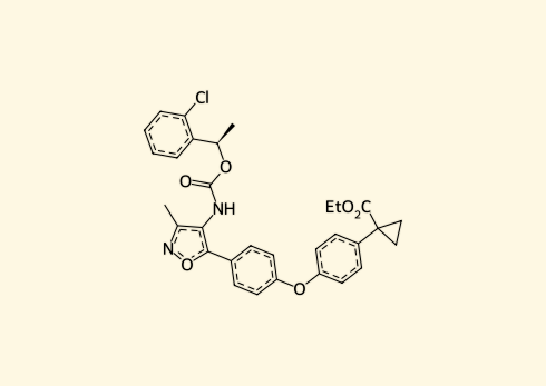 CCOC(=O)C1(c2ccc(Oc3ccc(-c4onc(C)c4NC(=O)O[C@H](C)c4ccccc4Cl)cc3)cc2)CC1